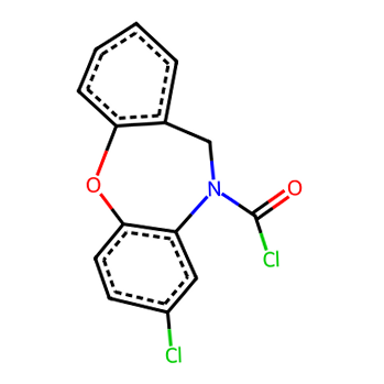 O=C(Cl)N1Cc2ccccc2Oc2ccc(Cl)cc21